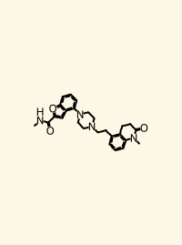 CNC(=O)c1cc2c(N3CCN(CCc4cccc5c4CCC(=O)N5C)CC3)cccc2o1